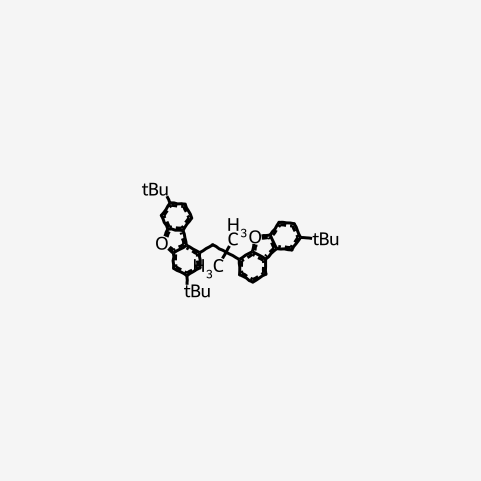 CC(C)(C)c1ccc2c(c1)oc1cc(C(C)(C)C)cc(CC(C)(C)c3cccc4c3oc3ccc(C(C)(C)C)cc34)c12